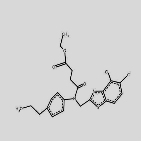 CCCc1ccc(N(Cc2nc3c(Cl)c(Cl)ccc3s2)C(=O)CCC(=O)OCC)cc1